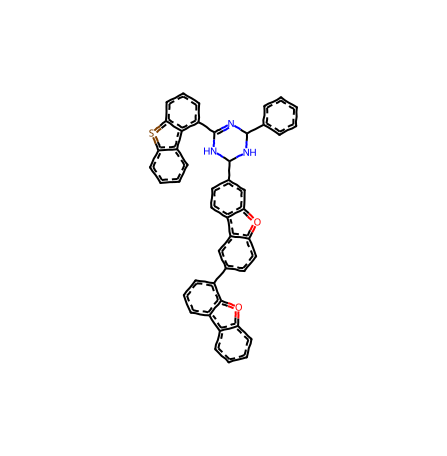 c1ccc(C2N=C(c3cccc4sc5ccccc5c34)NC(c3ccc4c(c3)oc3ccc(-c5cccc6c5oc5ccccc56)cc34)N2)cc1